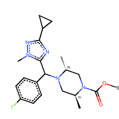 C[C@@H]1CN(C(=O)OC(C)(C)C)[C@@H](C)CN1C(c1ccc(F)cc1)c1nc(C2CC2)nn1C